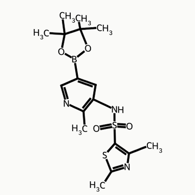 Cc1nc(C)c(S(=O)(=O)Nc2cc(B3OC(C)(C)C(C)(C)O3)cnc2C)s1